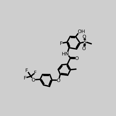 Cc1cc(Oc2ccc(OC(F)(F)F)cc2)ccc1C(=O)Nc1cc(S(C)(=O)=O)c(O)cc1F